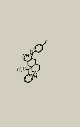 C=C(c1ccccn1)C12CNCCC1CC(Nc1ccc(F)cc1)=C(C=N)C2